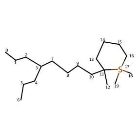 CCCC(CCC)CCCCC1(C)CCCCS1(C)C